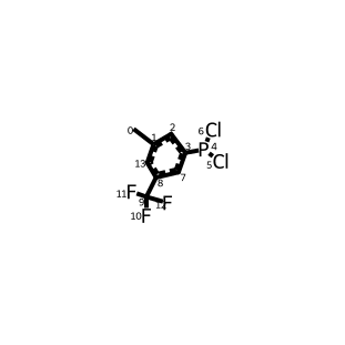 Cc1cc(P(Cl)Cl)cc(C(F)(F)F)c1